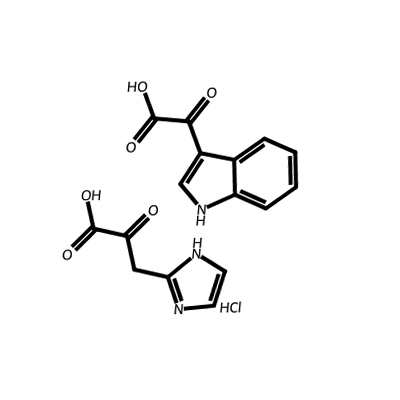 Cl.O=C(O)C(=O)Cc1ncc[nH]1.O=C(O)C(=O)c1c[nH]c2ccccc12